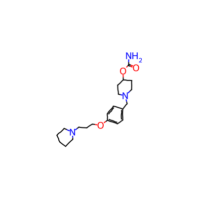 NC(=O)OC1CCN(Cc2ccc(OCCCN3CCCCC3)cc2)CC1